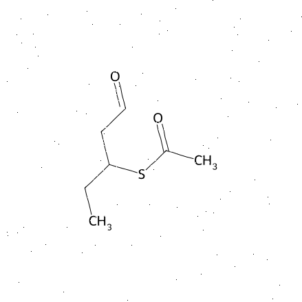 CCC(CC=O)SC(C)=O